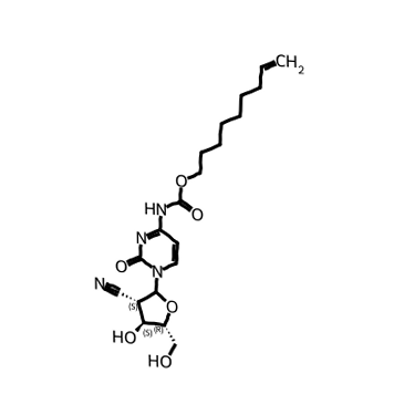 C=CCCCCCCCOC(=O)Nc1ccn(C2O[C@H](CO)[C@@H](O)[C@@H]2C#N)c(=O)n1